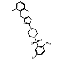 COc1ccc(Br)cc1S(=O)(=O)N1CCN(c2nc(Cc3c(C)cccc3C)cs2)CC1